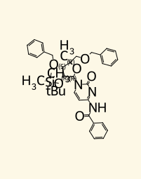 CC(C)(C)[Si](C)(C)O[C@H]1[C@H](n2ccc(NC(=O)c3ccccc3)nc2=O)O[C@](C)(COCc2ccccc2)[C@H]1OCc1ccccc1